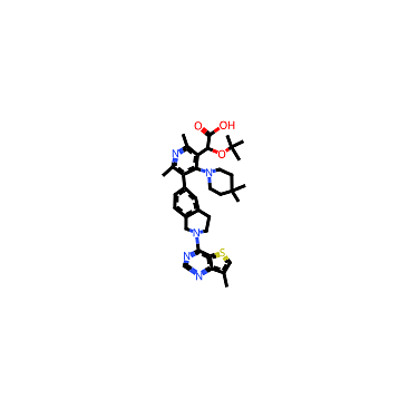 Cc1nc(C)c(C(OC(C)(C)C)C(=O)O)c(N2CCC(C)(C)CC2)c1-c1ccc2c(c1)CCN(c1ncnc3c(C)csc13)C2